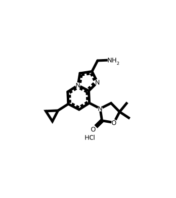 CC1(C)CN(c2cc(C3CC3)cn3cc(CN)nc23)C(=O)O1.Cl